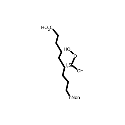 CCCCCCCCCCCCCCCCCC(=O)O.OO[SiH2]O